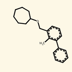 Cc1c(COC2CCCCCC2)cccc1-c1ccccc1